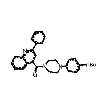 CCCCc1ccc(N2CCN(C(=O)c3cc(-c4ccccc4)nc4ccccc34)CC2)cc1